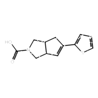 O=C(O)N1CC2C=C(c3cccs3)CC2C1